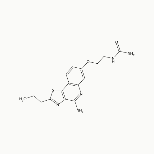 CCCc1nc2c(N)nc3cc(OCCNC(N)=O)ccc3c2s1